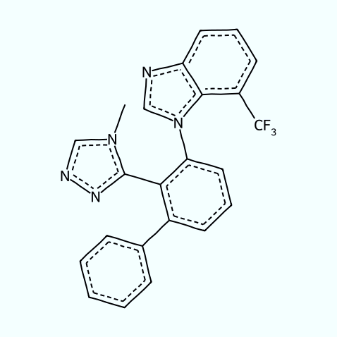 Cn1cnnc1-c1c(-c2ccccc2)cccc1-n1cnc2cccc(C(F)(F)F)c21